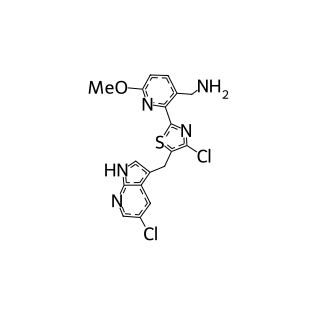 COc1ccc(CN)c(-c2nc(Cl)c(Cc3c[nH]c4ncc(Cl)cc34)s2)n1